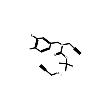 C#CCN.C#CCN(Cc1ccc(F)c(F)c1)C(=O)OC(C)(C)C